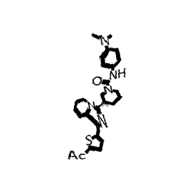 CC(=O)c1ccc(-c2nc([C@@H]3CCCN(C(=O)Nc4ccc(N(C)C)cc4)C3)n3ccccc23)s1